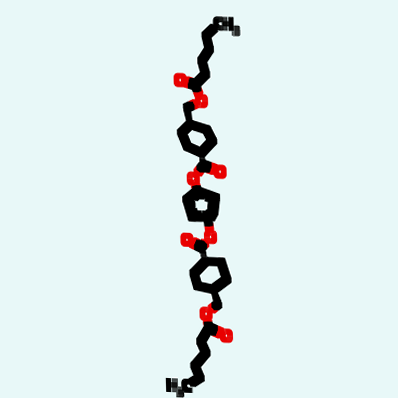 CCCCCC(=O)OC[C@H]1CC[C@H](C(=O)Oc2ccc(OC(=O)[C@H]3CC[C@H](COC(=O)CCCCC)CC3)cc2)CC1